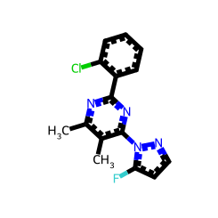 Cc1nc(-c2ccccc2Cl)nc(-n2nccc2F)c1C